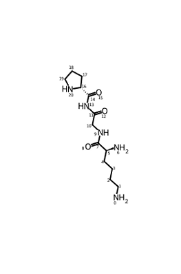 NCCCC[C@H](N)C(=O)NCC(=O)NC(=O)[C@H]1CCCN1